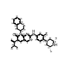 C=C(c1cc2cnc(Nc3ccc(N4C[C@@H](C)N[C@@H](C)C4)c(F)c3)nc2n(C2CSc3ccccc3C2)c1=O)C(C)C